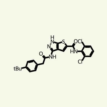 CC(C)(C)c1ccc(CC(=O)Nc2n[nH]c3sc(C(=O)Nc4c(Cl)cccc4Cl)cc23)cc1